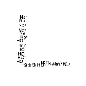 CS.[Na+].[Na+].[Na+].[Na+].[Na+].[Na+].[Na+].[Na+].[Na+].[Na+].[Na+].[OH-].[OH-].[OH-].[OH-].[OH-].[OH-].[OH-].[OH-].[OH-].[OH-].[OH-]